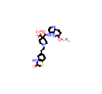 COc1ccc2nccc(NC(=O)C3(C(=O)O)CCN(CCc4ccc5c(c4)NC(=O)CS5)CC3)c2n1